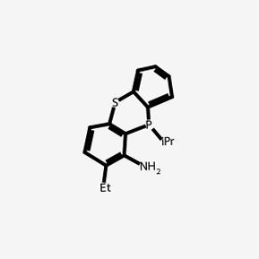 CCc1ccc2c(c1N)P(C(C)C)c1ccccc1S2